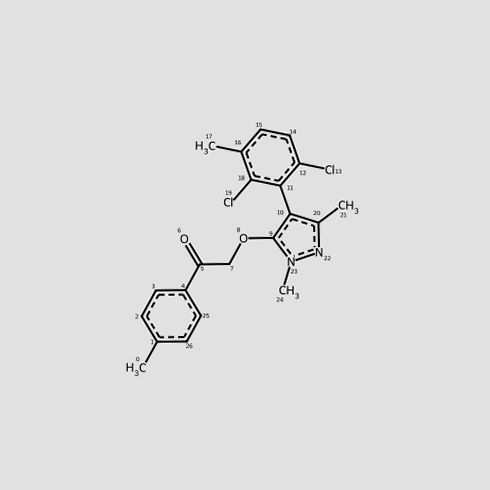 Cc1ccc(C(=O)COc2c(-c3c(Cl)ccc(C)c3Cl)c(C)nn2C)cc1